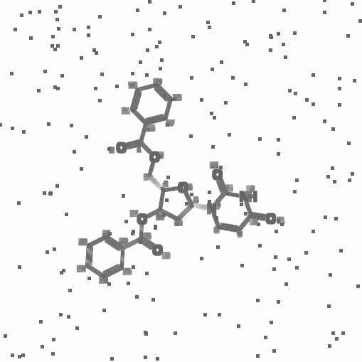 O=C(OC[C@@H]1O[C@H](n2ccc(=O)[nH]c2=O)CC1OC(=O)c1ccccc1)c1ccccc1